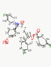 O=C(OCC(=CC[C@H]1C(=O)N(c2ccc(F)cc2)[C@@H]1c1ccc(O)cc1)c1ccc(F)cc1)c1ccc(F)cc1